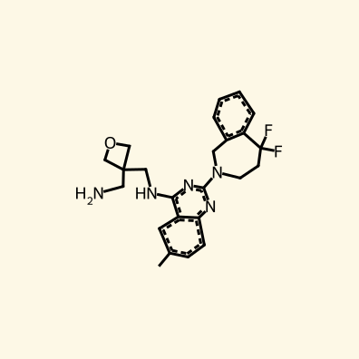 Cc1ccc2nc(N3CCC(F)(F)c4ccccc4C3)nc(NCC3(CN)COC3)c2c1